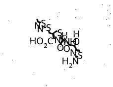 Cc1nnc(SCC2=C(C(=O)O)N3C(=O)[C@@H](NC(=O)C(O)c4csc(N)n4)[C@H]3SC2)s1